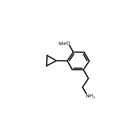 COc1ccc(CCN)cc1C1CC1